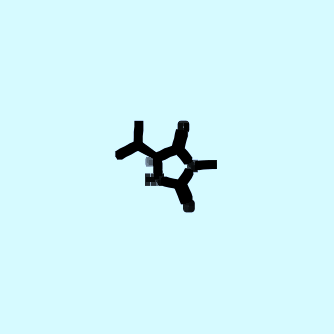 CC(C)[C@@H]1NC(=O)N(C)C1=O